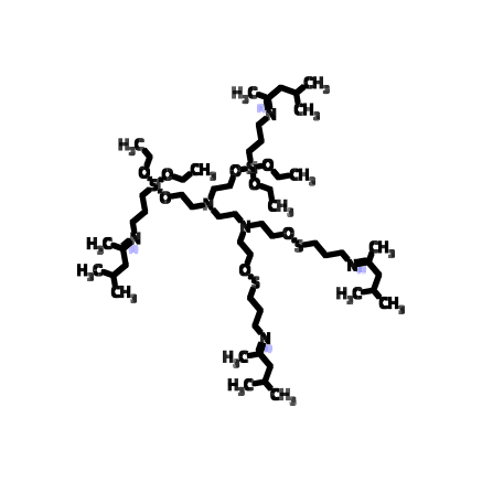 CCO[Si](CCC/N=C(\C)CC(C)C)(OCC)OCCN(CCO[Si](CCC/N=C(\C)CC(C)C)(OCC)OCC)CCN(CCOSCCC/N=C(\C)CC(C)C)CCOSCCC/N=C(\C)CC(C)C